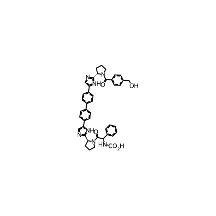 O=C(O)N[C@@H](C(=O)N1CCC[C@H]1c1ncc(-c2ccc(-c3ccc(-c4cnc([C@@H]5CCCN5C(=O)c5ccc(CO)cc5)[nH]4)cc3)cc2)[nH]1)c1ccccc1